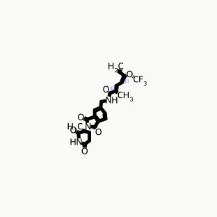 C=C/C(=C\C=C(/C)C(=O)NCc1ccc2c(c1)C(=O)N([C@@]1(C)CCC(=O)NC1=O)C2=O)OC(F)(F)F